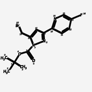 CC(C)(C)OC(=O)n1nc(-c2ccc(F)cn2)cc1CBr